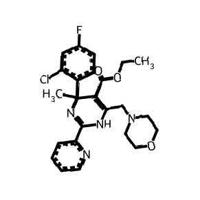 CCOC(=O)C1=C(CN2CCOCC2)NC(c2ccccn2)=NC1(C)c1ccc(F)cc1Cl